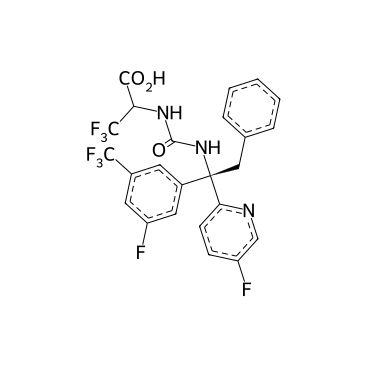 O=C(NC(C(=O)O)C(F)(F)F)N[C@@](Cc1ccccc1)(c1cc(F)cc(C(F)(F)F)c1)c1ccc(F)cn1